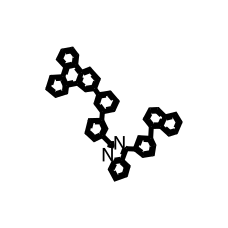 c1cc(-c2cccc(-c3nc(-c4cccc(-c5cccc6ccccc56)c4)c4ccccc4n3)c2)cc(-c2ccc3c4ccccc4c4ccccc4c3c2)c1